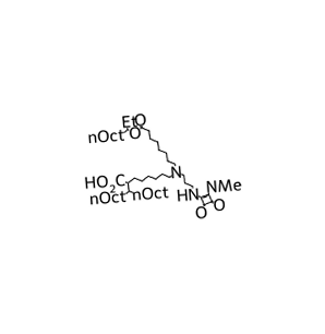 CCCCCCCCC(CC)OC(=O)CCCCCCCN(CCCCCCC(C(=O)O)C(CCCCCCCC)CCCCCCCC)CCCNc1c(NC)c(=O)c1=O